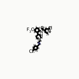 O=C(Nc1ccc(C(F)(F)F)cc1C1CCN(C/C=C/c2ccc(Cl)cc2)CC1)c1ccnc(Cl)c1